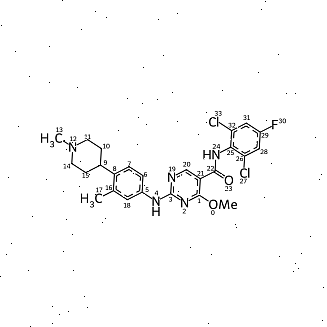 COc1nc(Nc2ccc(C3CCN(C)CC3)c(C)c2)ncc1C(=O)Nc1c(Cl)cc(F)cc1Cl